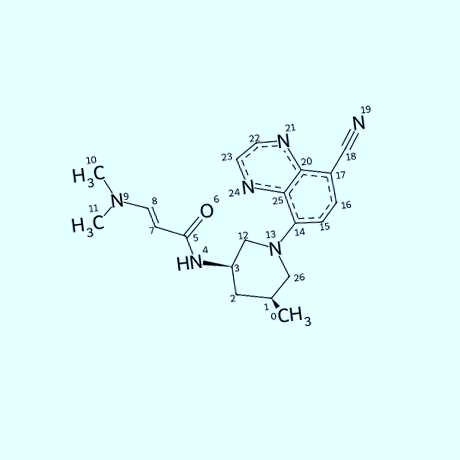 C[C@H]1C[C@@H](NC(=O)C=CN(C)C)CN(c2ccc(C#N)c3nccnc23)C1